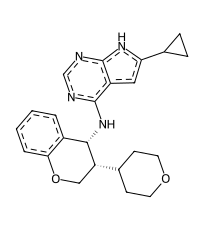 c1ccc2c(c1)OC[C@@H](C1CCOCC1)[C@H]2Nc1ncnc2[nH]c(C3CC3)cc12